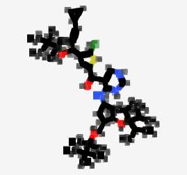 CC(C)[Si](O[C@H]1C[C@H](Nc2ncncc2C(=O)c2cc([C@H](C#CC3CC3)O[Si](C)(C)C(C)(C)C)c(Cl)s2)C[C@@H]1CO[Si](C)(C)C(C)(C)C)(C(C)C)C(C)C